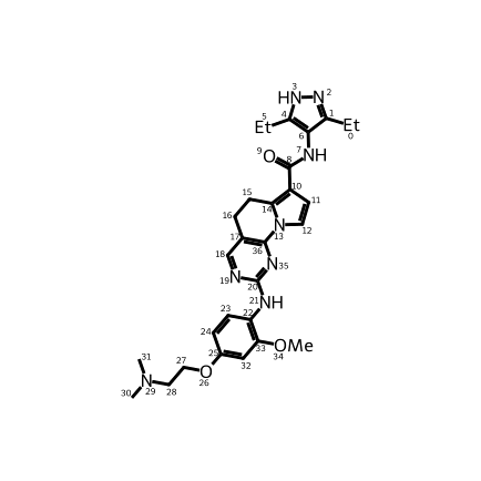 CCc1n[nH]c(CC)c1NC(=O)c1ccn2c1CCc1cnc(Nc3ccc(OCCN(C)C)cc3OC)nc1-2